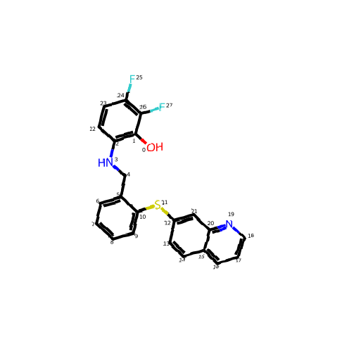 Oc1c(NCc2ccccc2Sc2ccc3cccnc3c2)ccc(F)c1F